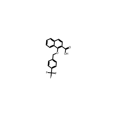 O=C(O)c1ccc2ccccc2c1OCc1ccc(C(F)(F)F)cc1